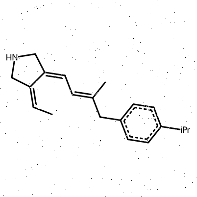 C/C=C1/CNC/C1=C/C=C(\C)Cc1ccc(C(C)C)cc1